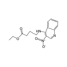 CCOC(=O)CCCNc1c([N+](=O)[O-])cnc2ccccc12